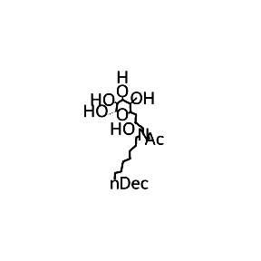 CCCCCCCCCCCCCCCCCN(CC(O)CC1O[C@H](CO)[C@@H](O)[C@H](O)[C@H]1O)C(C)=O